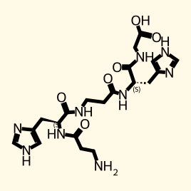 NCCC(=O)N[C@@H](Cc1c[nH]cn1)C(=O)NCCC(=O)N[C@@H](Cc1c[nH]cn1)C(=O)NCC(=O)O